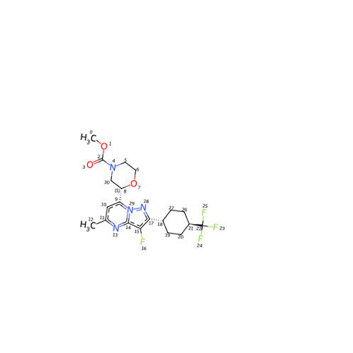 COC(=O)N1CCO[C@H](c2cc(C)nc3c(F)c([C@H]4CC[C@H](C(F)(F)F)CC4)nn23)C1